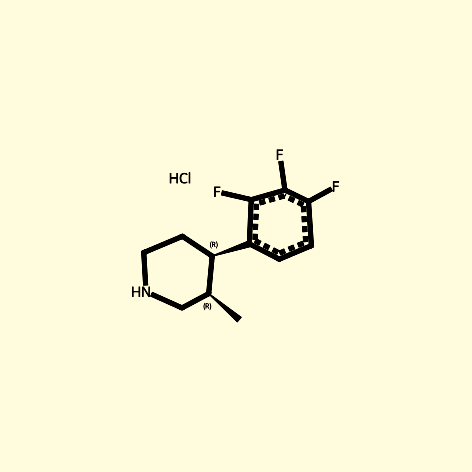 C[C@H]1CNCC[C@H]1c1ccc(F)c(F)c1F.Cl